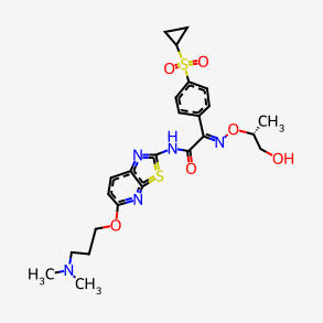 C[C@H](CO)O/N=C(/C(=O)Nc1nc2ccc(OCCCN(C)C)nc2s1)c1ccc(S(=O)(=O)C2CC2)cc1